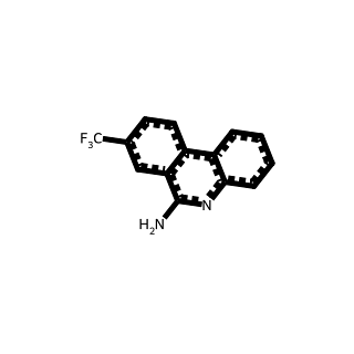 Nc1nc2ccccc2c2ccc(C(F)(F)F)cc12